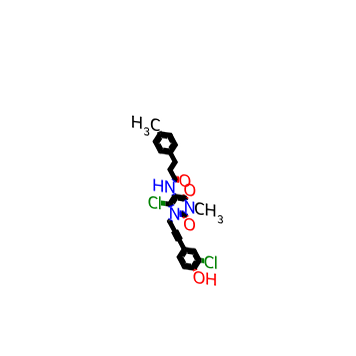 Cc1ccc(CCC(=O)Nc2c(Cl)n(CC#Cc3ccc(O)c(Cl)c3)c(=O)n(C)c2=O)cc1